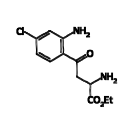 CCOC(=O)C(N)CC(=O)c1ccc(Cl)cc1N